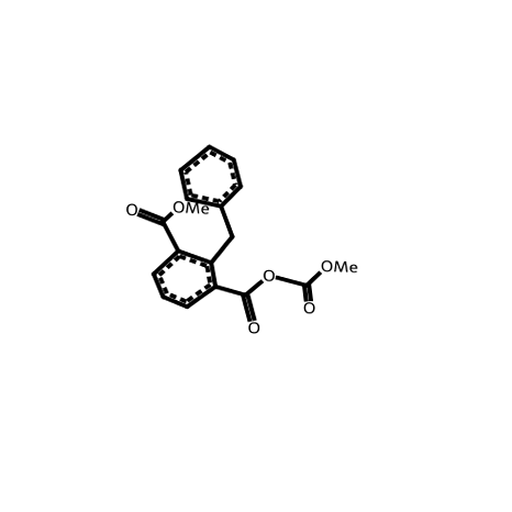 COC(=O)OC(=O)c1cccc(C(=O)OC)c1Cc1ccccc1